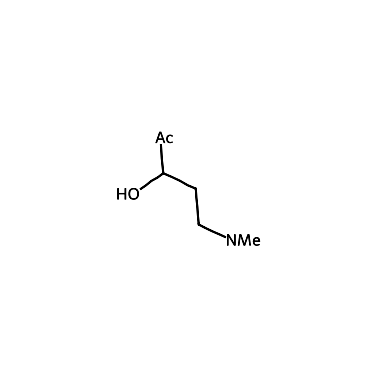 CNCCC(O)C(C)=O